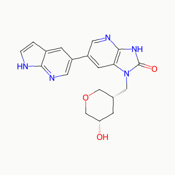 O=c1[nH]c2ncc(-c3cnc4[nH]ccc4c3)cc2n1C[C@H]1COC[C@@H](O)C1